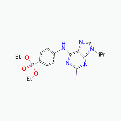 CCOP(=O)(OCC)c1ccc(Nc2nc(I)nc3c2ncn3C(C)C)cc1